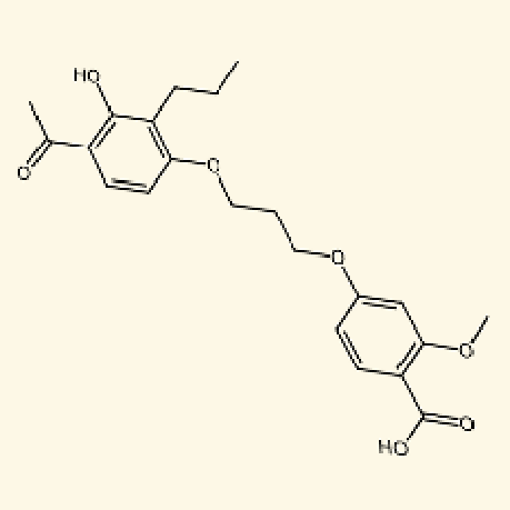 CCCc1c(OCCCOc2ccc(C(=O)O)c(OC)c2)ccc(C(C)=O)c1O